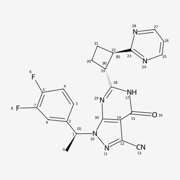 C[C@@H](c1ccc(F)c(F)c1)n1nc(C#N)c2c(=O)[nH]c([C@@H]3CC[C@H]3c3ncccn3)nc21